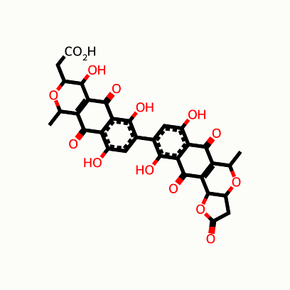 CC1OC(CC(=O)O)C(O)C2=C1C(=O)c1c(O)cc(-c3cc(O)c4c(c3O)C(=O)C3=C(C4=O)C(C)OC4CC(=O)OC34)c(O)c1C2=O